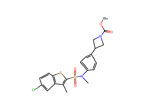 Cc1c(S(=O)(=O)N(C)c2ccc(C3CN(C(=O)OC(C)(C)C)C3)cc2)sc2ccc(Cl)cc12